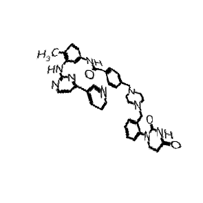 Cc1ccc(NC(=O)c2ccc(CN3CCN(Cc4ccccc4N4CCC(=O)NC4=O)CC3)cc2)cc1Nc1nccc(-c2cccnc2)n1